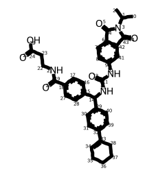 CC(C)N1C(=O)c2ccc(NC(=O)NC(c3ccc(C(=O)NCCC(=O)O)cc3)c3ccc(C4=CCCCC4)cc3)cc2C1=O